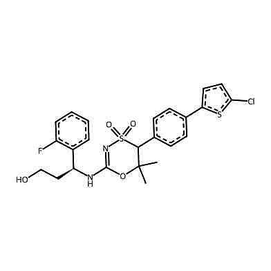 CC1(C)OC(N[C@@H](CCO)c2ccccc2F)=NS(=O)(=O)C1c1ccc(-c2ccc(Cl)s2)cc1